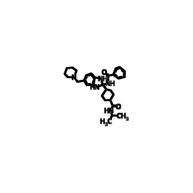 CC(C)NC(=O)C1CCC(C2(NC(=O)c3ccccc3)Nc3ccc(CN4CCCCC4)cc3N2)CC1